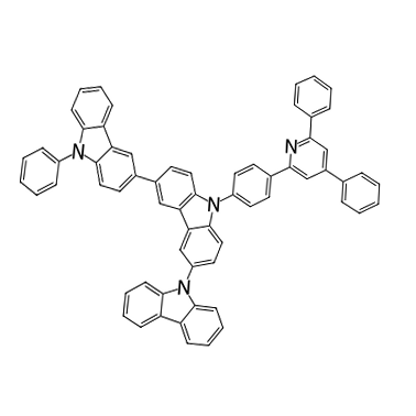 c1ccc(-c2cc(-c3ccccc3)nc(-c3ccc(-n4c5ccc(-c6ccc7c(c6)c6ccccc6n7-c6ccccc6)cc5c5cc(-n6c7ccccc7c7ccccc76)ccc54)cc3)c2)cc1